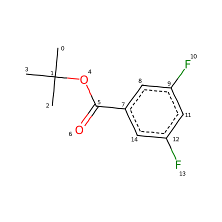 CC(C)(C)OC(=O)c1cc(F)cc(F)c1